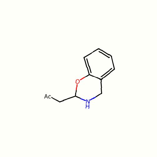 CC(=O)CC1NCc2ccccc2O1